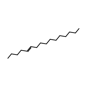 CCCC[CH]CCCCCC=CCCCC